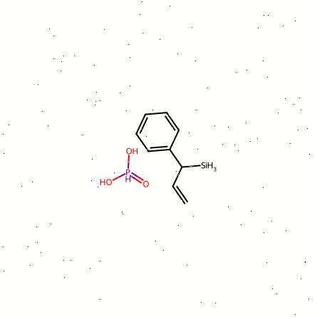 C=CC([SiH3])c1ccccc1.O=[PH](O)O